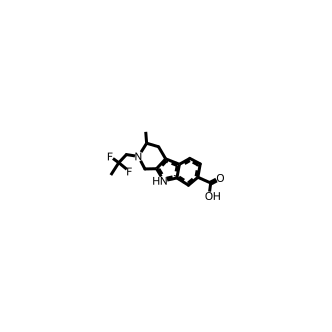 CC1Cc2c([nH]c3cc(C(=O)O)ccc23)CN1CC(C)(F)F